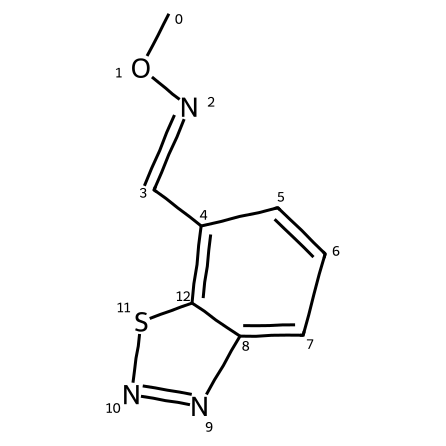 CO/N=C/c1cccc2nnsc12